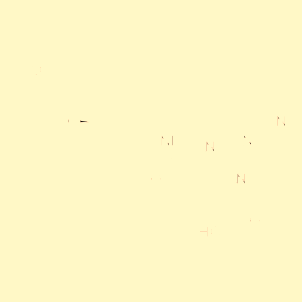 COCCO[C@H]1CC[C@H](NC(=O)c2cc(C(=O)O)nc(-n3ccnc3)n2)CC1